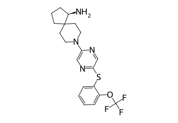 N[C@@H]1CCCC12CCN(c1cnc(Sc3ccccc3OC(F)(F)F)cn1)CC2